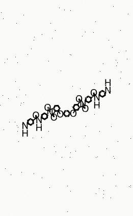 CNc1ccc(NC(=O)c2ccc(N3C(=O)c4ccc(Oc5ccc(Oc6cccc7c6C(=O)N(c6ccc(NC(=O)c8ccc(NC)cc8)cc6)C7=O)cc5)cc4C3=O)cc2)cc1